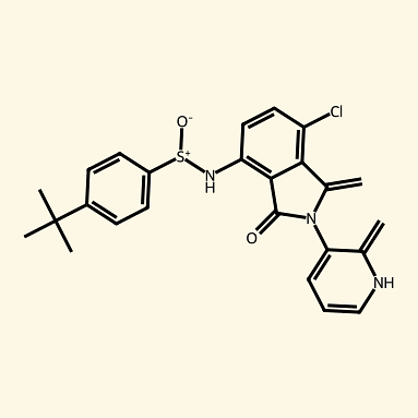 C=C1NC=CC=C1N1C(=C)c2c(Cl)ccc(N[S+]([O-])c3ccc(C(C)(C)C)cc3)c2C1=O